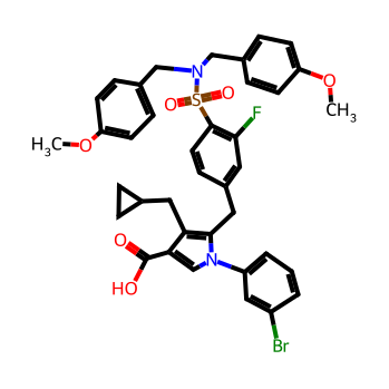 COc1ccc(CN(Cc2ccc(OC)cc2)S(=O)(=O)c2ccc(Cc3c(CC4CC4)c(C(=O)O)cn3-c3cccc(Br)c3)cc2F)cc1